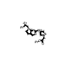 CCC(Cn1ccc2cnc(Nc3cnn(CC(=O)OC(C)C)c3)nc21)C(C)C